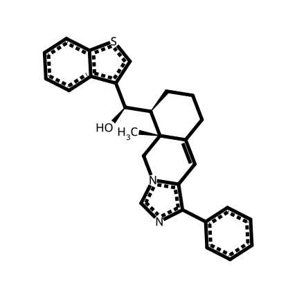 C[C@]12Cn3cnc(-c4ccccc4)c3C=C1CCC[C@@H]2[C@@H](O)c1csc2ccccc12